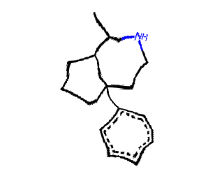 CC1NCCC2(c3ccccc3)CCCC12